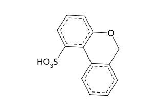 O=S(=O)(O)c1cccc2c1-c1ccccc1CO2